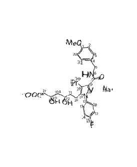 COc1ccc(CNC(=O)c2nn(-c3ccc(F)cc3)c(CC[C@@H](O)C[C@@H](O)CC(=O)[O-])c2C(C)C)cc1.[Na+]